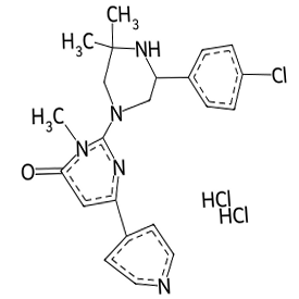 Cl.Cl.Cn1c(N2CC(c3ccc(Cl)cc3)NC(C)(C)C2)nc(-c2ccncc2)cc1=O